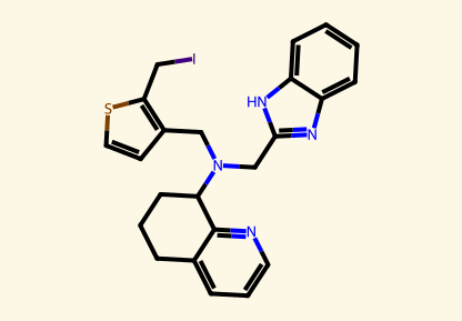 ICc1sccc1CN(Cc1nc2ccccc2[nH]1)C1CCCc2cccnc21